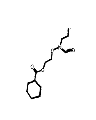 [CH2]CCN(C=O)OCCOC(=O)C1CCCCC1